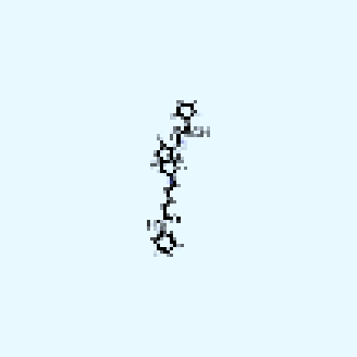 O=C(CCC/C=C1\C[C@H]2C[C@@H](O)[C@H](/C=C/[C@@H](O)C3CCCC3)[C@H]2C1)Nc1ccccc1